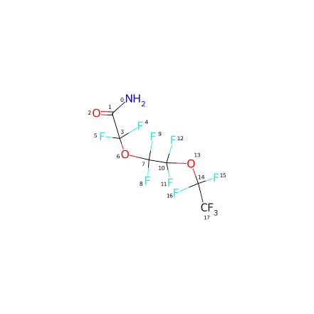 NC(=O)C(F)(F)OC(F)(F)C(F)(F)OC(F)(F)C(F)(F)F